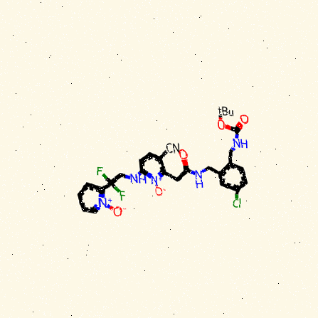 CC(C)(C)OC(=O)NCc1ccc(Cl)cc1CNC(=O)Cc1c(C#N)ccc(NCC(F)(F)c2cccc[n+]2[O-])[n+]1[O-]